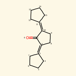 O=C1C(=C2CCCC2)CCC1=C1CCCC1